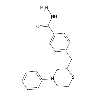 NNC(=O)c1ccc(CC2CN(c3ccccc3)CCS2)cc1